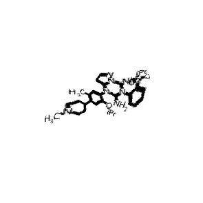 Cc1cc(N2c3ccnn3C(N)N(c3ccccc3S(=O)(=O)C(C)C)C2N)c(OC(C)C)cc1C1CCN(C)CC1